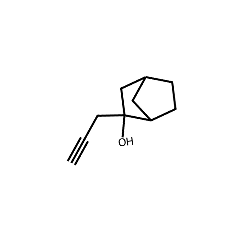 C#CCC1(O)CC2CCC1C2